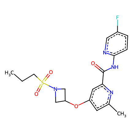 CCCS(=O)(=O)N1CC(Oc2cc(C)nc(C(=O)Nc3ccc(F)cn3)c2)C1